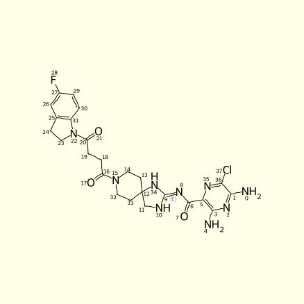 Nc1nc(N)c(C(=O)/N=C2\NCC3(CCN(C(=O)CCC(=O)N4CCc5cc(F)ccc54)CC3)N2)nc1Cl